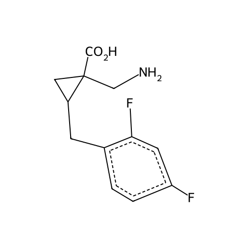 NCC1(C(=O)O)CC1Cc1ccc(F)cc1F